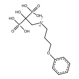 C[S@+](CCCOc1ccccc1)CC(O)(P(=O)(O)O)P(=O)(O)O